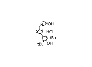 CC(C)(C)c1cc(-c2csc(CN3CC[C@H](O)C3)n2)cc(C(C)(C)C)c1O.Cl